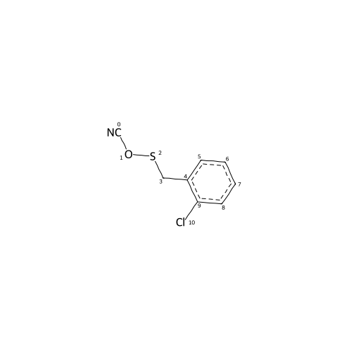 N#COSCc1ccccc1Cl